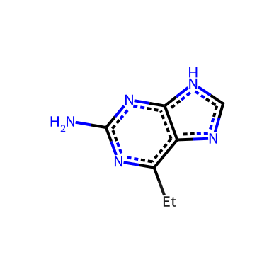 CCc1nc(N)nc2[nH]cnc12